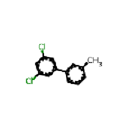 Cc1cccc(-c2cc(Cl)cc(Cl)c2)c1